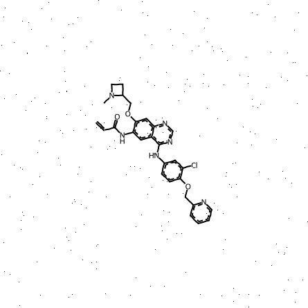 C=CC(=O)Nc1cc2c(Nc3ccc(OCc4ccccn4)c(Cl)c3)ncnc2cc1OCC1CCN1C